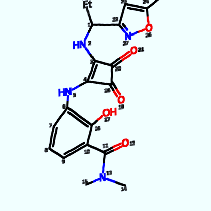 CCC(Nc1c(Nc2cccc(C(=O)N(C)C)c2O)c(=O)c1=O)c1cc(C)on1